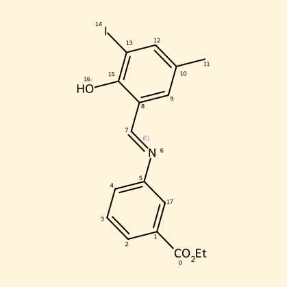 CCOC(=O)c1cccc(/N=C/c2cc(C)cc(I)c2O)c1